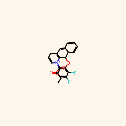 CCOC(=O)[N+]12C=CCC3=C1C(OC1=C(F)C(F)=CC(=O)C12)C1C=CC=CC1=C3